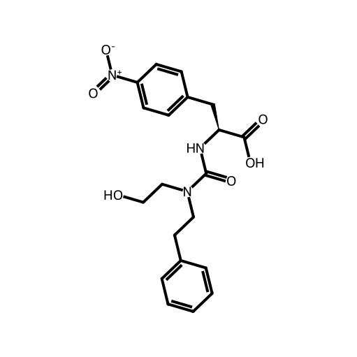 O=C(O)[C@H](Cc1ccc([N+](=O)[O-])cc1)NC(=O)N(CCO)CCc1ccccc1